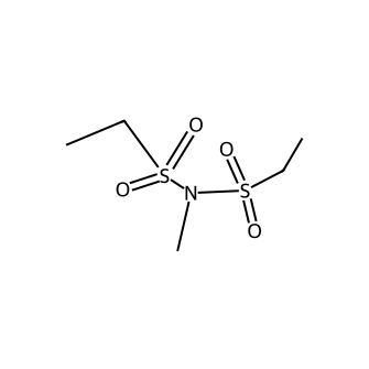 CCS(=O)(=O)N(C)S(=O)(=O)CC